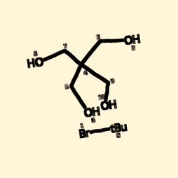 CC(C)(C)Br.OCC(CO)(CO)CO